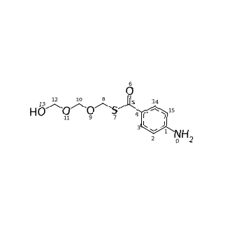 Nc1ccc(C(=O)SCOCOCO)cc1